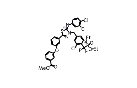 CCOP(=O)(OCC)C(F)(F)c1ccc(Cn2nc(-c3cccc(Oc4cccc(C(=O)OC)c4)c3)s/c2=N/c2ccc(Cl)c(Cl)c2)cc1Cl